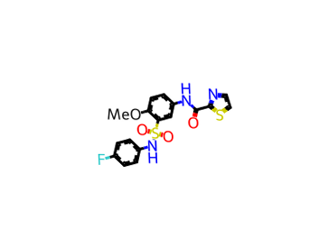 COc1ccc(NC(=O)c2nccs2)cc1S(=O)(=O)Nc1ccc(F)cc1